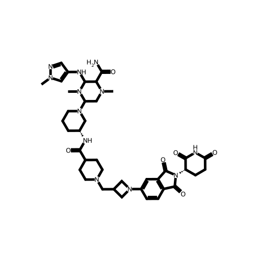 CN1CC(N2CCC[C@@H](NC(=O)C3CCN(CC4CN(c5ccc6c(c5)C(=O)N([C@H]5CCC(=O)NC5=O)C6=O)C4)CC3)C2)N(C)C(Nc2cnn(C)c2)C1C(N)=O